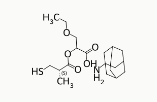 CCOCC(OC(=O)[C@H](C)CS)C(=O)O.NC12CC3CC(CC(C3)C1)C2